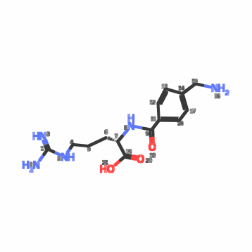 N=C(N)NCCC[C@H](NC(=O)c1ccc(CN)cc1)C(=O)O